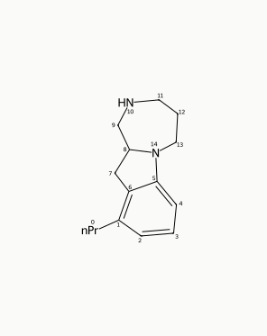 CCCc1cccc2c1CC1CNCCCN21